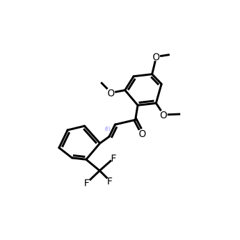 COc1cc(OC)c(C(=O)/C=C/c2ccccc2C(F)(F)F)c(OC)c1